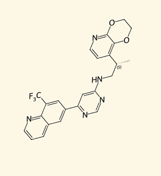 C[C@H](CNc1cc(-c2cc(C(F)(F)F)c3ncccc3c2)ncn1)c1ccnc2c1OCCO2